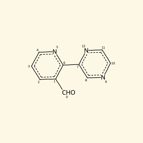 O=Cc1cccnc1-c1cnccn1